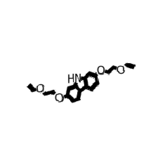 C=COCCOc1ccc2c(c1)[nH]c1cc(OCCOC=C)ccc12